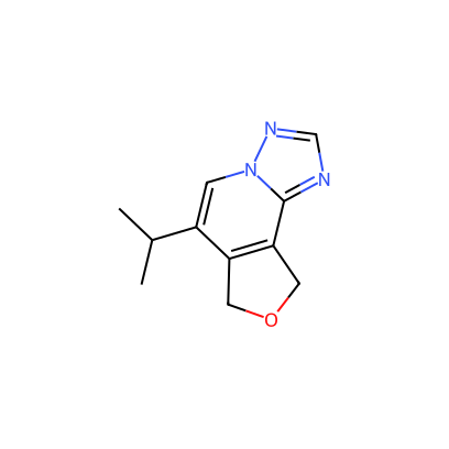 CC(C)c1cn2ncnc2c2c1COC2